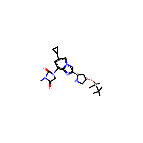 CN1C(=O)CN(c2cc(C3CC3)cn3cc([C@H]4C[C@H](O[Si](C)(C)C(C)(C)C)CN4)nc23)C1=O